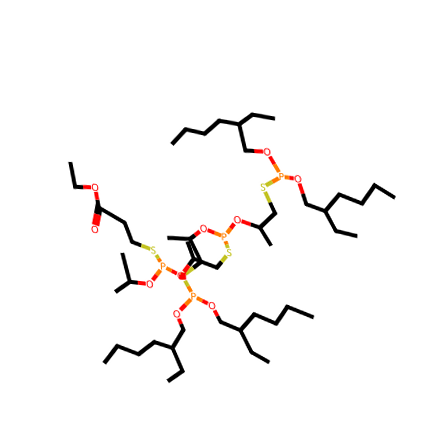 CCCCC(CC)COP(OCC(CC)CCCC)SCC(C)OP(OC(C)CSP(OCC(CC)CCCC)OCC(CC)CCCC)SCC(C)OP(OC(C)C)SCCC(=O)OCC